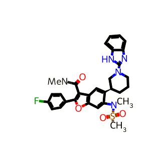 CNC(=O)c1c(-c2ccc(F)cc2)oc2cc(N(C)S(C)(=O)=O)c([C@@H]3CCCN(c4nc5ccccc5[nH]4)C3)cc12